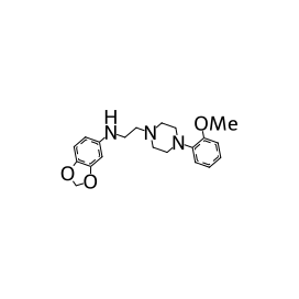 COc1ccccc1N1CCN(CCNc2ccc3c(c2)OCO3)CC1